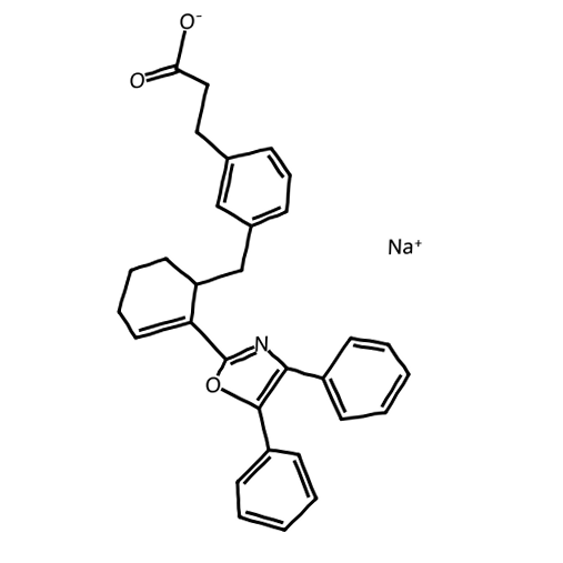 O=C([O-])CCc1cccc(CC2CCCC=C2c2nc(-c3ccccc3)c(-c3ccccc3)o2)c1.[Na+]